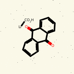 O=C1c2ccccc2C(=O)c2ccccc21.[Li][C](=O)O